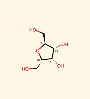 OC[C@@H]1O[C@@H](CO)[C@@H](O)[C@H]1O